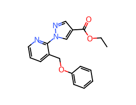 CCOC(=O)c1cnn(-c2ncccc2COc2ccccc2)c1